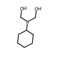 OCN(CO)C1CCCCC1